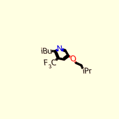 CCC(C)c1ncc(OCCC(C)C)cc1C(F)(F)F